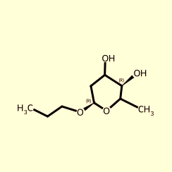 CCCO[C@H]1CC(O)[C@@H](O)C(C)O1